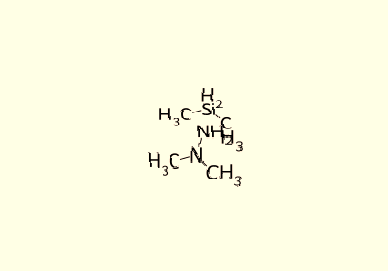 CN(C)N.C[SiH2]C